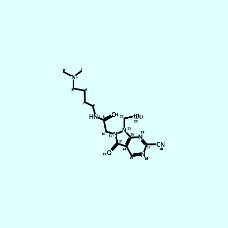 CN(C)CCCCNC(=O)Cn1c(=O)c2cnc(C#N)nc2n1CC(C)(C)C